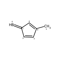 B=C1C=CC(C)=C1